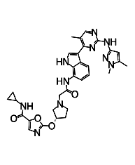 Cc1cnc(Nc2cc(C)n(C)n2)nc1-c1c[nH]c2c(NC(=O)CN3CC[C@H](Oc4ncc(C(=O)NC5CC5)o4)C3)cccc12